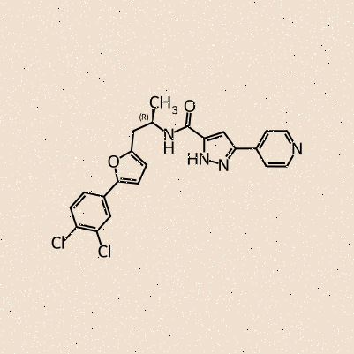 C[C@H](Cc1ccc(-c2ccc(Cl)c(Cl)c2)o1)NC(=O)c1cc(-c2ccncc2)n[nH]1